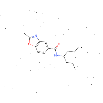 CCCC(CCC)NC(=O)c1ccc2oc(C)nc2c1